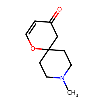 CN1CCC2(CC1)CC(=O)C=CO2